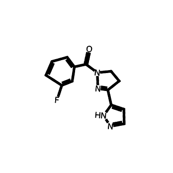 O=C(c1cccc(F)c1)N1CCC(c2ccn[nH]2)=N1